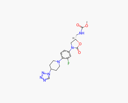 COC(=O)NC[C@H]1CN(c2ccc(N3CCC(n4cnnn4)CC3)c(F)c2)C(=O)O1